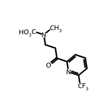 CN(CCC(=O)c1cccc(C(F)(F)F)n1)C(=O)O